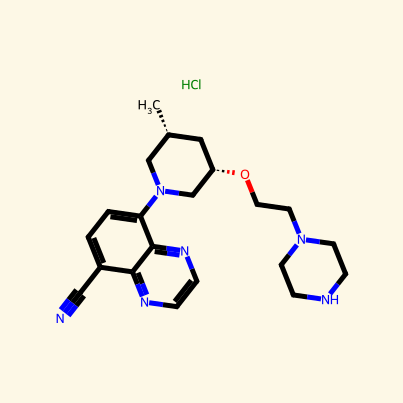 C[C@@H]1C[C@H](OCCN2CCNCC2)CN(c2ccc(C#N)c3nccnc23)C1.Cl